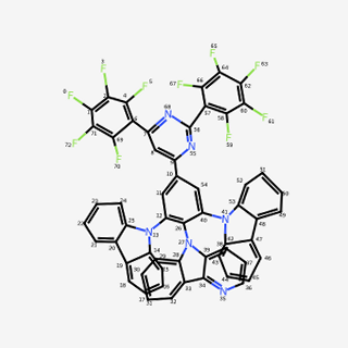 Fc1c(F)c(F)c(-c2cc(-c3cc(-n4c5ccccc5c5ccccc54)c(-n4c5ccccc5c5ncccc54)c(-n4c5ccccc5c5ccccc54)c3)nc(-c3c(F)c(F)c(F)c(F)c3F)n2)c(F)c1F